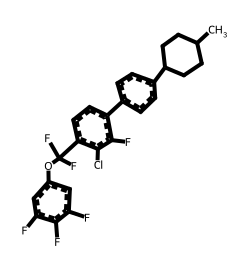 CC1CCC(c2ccc(-c3ccc(C(F)(F)Oc4cc(F)c(F)c(F)c4)c(Cl)c3F)cc2)CC1